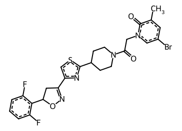 Cc1cc(Br)cn(CC(=O)N2CCC(c3nc(C4=NOC(c5c(F)cccc5F)C4)cs3)CC2)c1=O